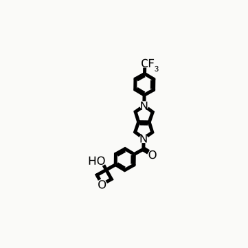 O=C(c1ccc(C2(O)COC2)cc1)N1CC2=C(C1)CN(c1ccc(C(F)(F)F)cc1)C2